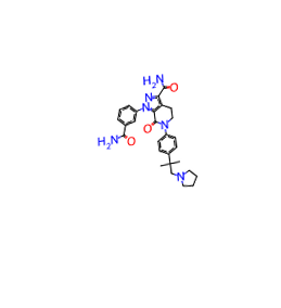 CC(C)(CN1CCCC1)c1ccc(N2CCc3c(C(N)=O)nn(-c4cccc(C(N)=O)c4)c3C2=O)cc1